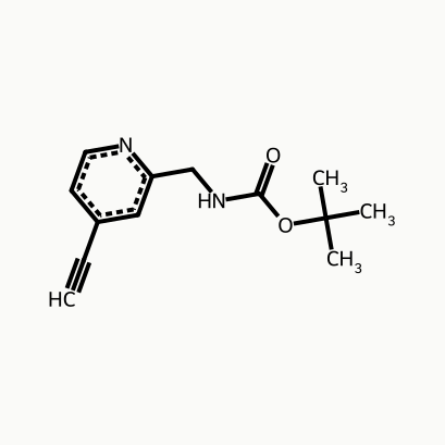 C#Cc1ccnc(CNC(=O)OC(C)(C)C)c1